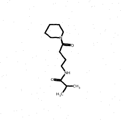 CC(C)C(=O)NCCCC(=O)N1CCCCC1